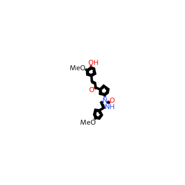 COc1ccc(-c2cn(-c3cccc(C(=O)C=Cc4ccc(O)c(OC)c4)c3)c(=O)[nH]2)cc1